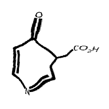 O=C(O)C1C=NC=CC1=O